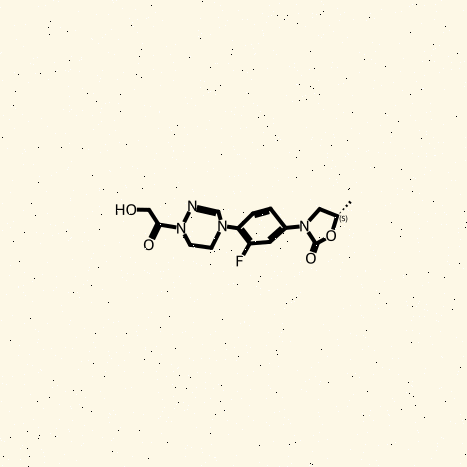 C[C@H]1CN(c2ccc(N3C=NN(C(=O)CO)CC3)c(F)c2)C(=O)O1